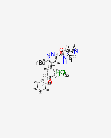 CCCCc1nnc(C(=O)N[C@@H]2CN3CCC2CC3)cc1-c1ccc(OC2CCCCC2)cc1.Cl.Cl